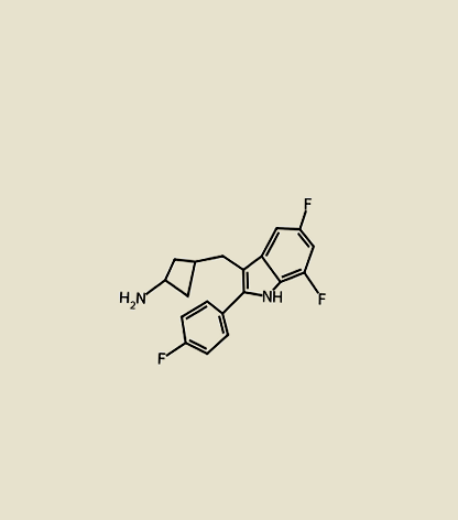 NC1CC(Cc2c(-c3ccc(F)cc3)[nH]c3c(F)cc(F)cc23)C1